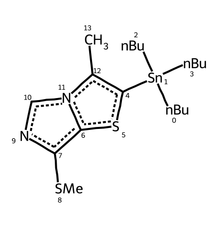 CCC[CH2][Sn]([CH2]CCC)([CH2]CCC)[c]1sc2c(SC)ncn2c1C